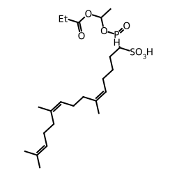 CCC(=O)OC(C)O[PH](=O)C(CCCC=C(C)CCC=C(C)CCC=C(C)C)S(=O)(=O)O